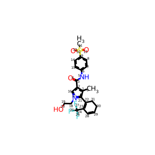 Cc1c(C(=O)Nc2ccc(S(C)(=O)=O)cc2)cn(CCO)c1C1=C(C(F)(F)F)C=CCC1